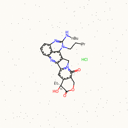 CCCCNC1=Nc2cccc3nc4c(c(c23)N1CCC(C)C)Cn1c-4cc2c(c1=O)COC(=O)[C@]2(O)CC.Cl